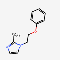 CCOC(=O)c1nccn1CCOc1ccccc1